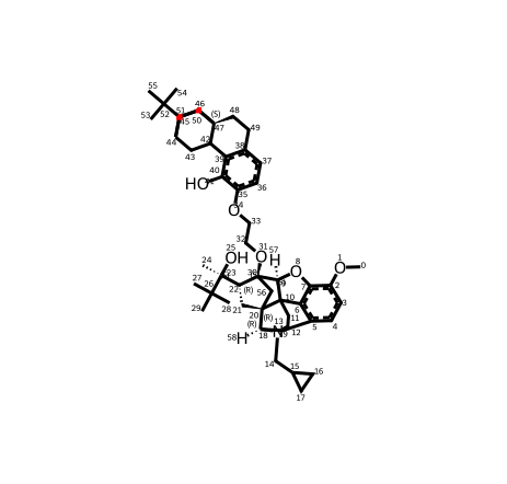 COc1ccc2c3c1O[C@H]1C34CCN(CC3CC3)[C@H](C2)[C@@]42C[C@H]([C@](C)(O)C(C)(C)C)[C@@]1(OCCOc1ccc3c(c1O)C1CC4CC[C@]1(CC3)CC4C(C)(C)C)C2